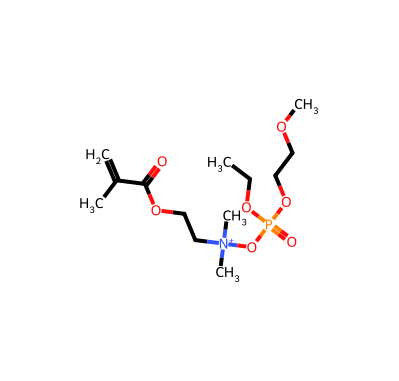 C=C(C)C(=O)OCC[N+](C)(C)OP(=O)(OCC)OCCOC